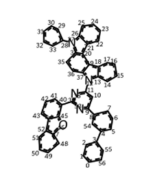 c1ccc(-c2cccc(-c3cc(-n4c5ccccc5c5c6c7ccccc7n(-c7ccccc7)c6ccc54)nc(-c4cccc5c4oc4ccccc45)n3)c2)cc1